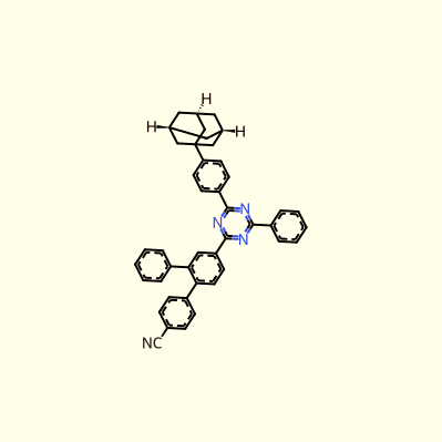 N#Cc1ccc(-c2ccc(-c3nc(-c4ccccc4)nc(-c4ccc(C56C[C@H]7C[C@@H](C5)C[C@@H](C6)C7)cc4)n3)cc2-c2ccccc2)cc1